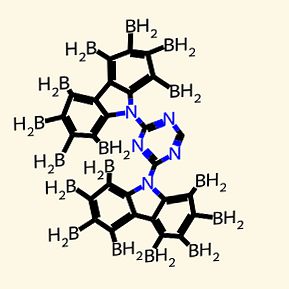 Bc1c(B)c(B)c2c(c1B)c1c(B)c(B)c(B)c(B)c1n2-c1ncnc(-n2c3c(B)c(B)c(B)c(B)c3c3c(B)c(B)c(B)c(B)c32)n1